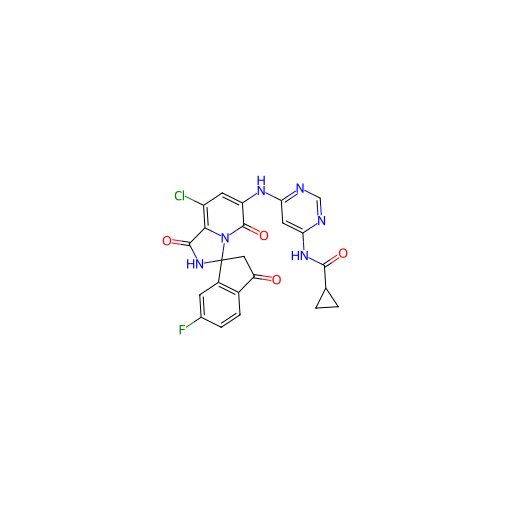 O=C1CC2(NC(=O)c3c(Cl)cc(Nc4cc(NC(=O)C5CC5)ncn4)c(=O)n32)c2cc(F)ccc21